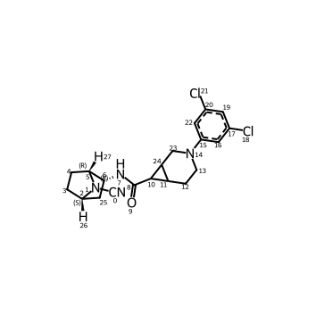 N#CN1[C@H]2CC[C@@H]1[C@H](NC(=O)C1C3CCN(c4cc(Cl)cc(Cl)c4)CC31)C2